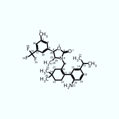 Cc1cc([C@H]2OC(=O)N(CC3=C(c4cc(C(C)C)ccc4N)CCC(C)(C)C3)[C@H]2C)cc(C(F)(F)F)c1